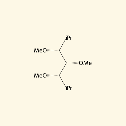 CO[C@@H]([C@H](OC)C(C)C)[C@@H](OC)C(C)C